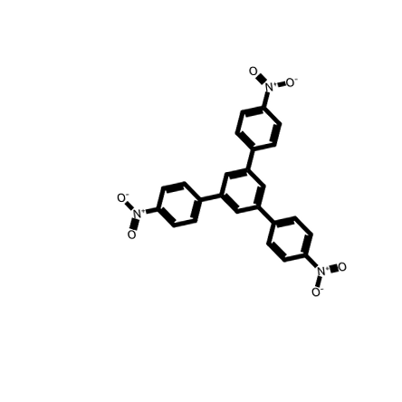 O=[N+]([O-])c1ccc(-c2cc(-c3ccc([N+](=O)[O-])cc3)cc(-c3ccc([N+](=O)[O-])cc3)c2)cc1